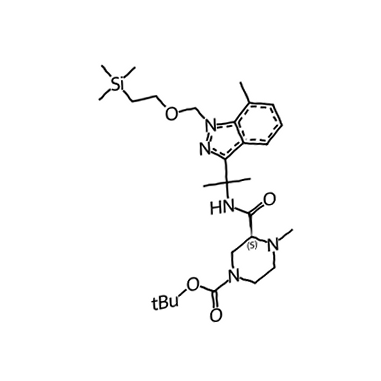 Cc1cccc2c(C(C)(C)NC(=O)[C@@H]3CN(C(=O)OC(C)(C)C)CCN3C)nn(COCC[Si](C)(C)C)c12